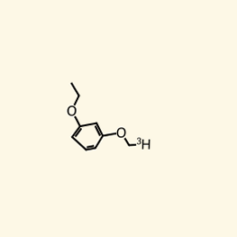 [3H]COc1cccc(OCC)c1